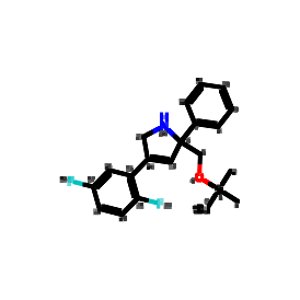 CC(C)(C)[Si](C)(C)OCC1(c2ccccc2)C=C(c2cc(F)ccc2F)CN1